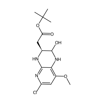 COc1cc(Cl)nc2c1NC(O)[C@H](CC(=O)OC(C)(C)C)N2